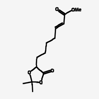 COC(=O)C=CCCCCC1OC(C)(C)OC1=O